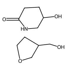 O=C1CCC(O)CN1.OCC1CCOC1